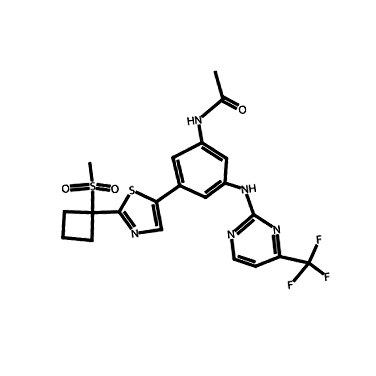 CC(=O)Nc1cc(Nc2nccc(C(F)(F)F)n2)cc(-c2cnc(C3(S(C)(=O)=O)CCC3)s2)c1